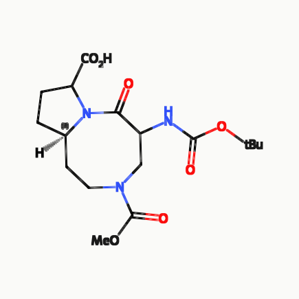 COC(=O)N1CC[C@H]2CCC(C(=O)O)N2C(=O)C(NC(=O)OC(C)(C)C)C1